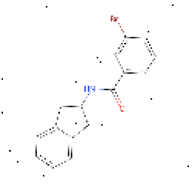 O=C(NC1Cc2ccccc2C1)c1cccc(Br)c1